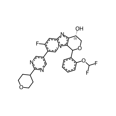 O[C@@H]1COC(c2ccccc2OC(F)F)c2c1nc1cc(F)c(-c3cnc(C4CCOCC4)nc3)cn21